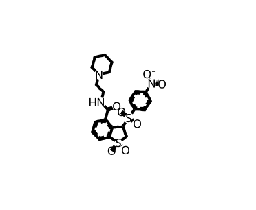 O=C(NCCN1CCCCC1)c1cccc2c1C(S(=O)(=O)c1ccc([N+](=O)[O-])cc1)CS2(=O)=O